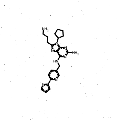 NCCCc1nc2c(NCc3ccc(-c4cccs4)nc3)nc(N)nc2n1C1CCCC1